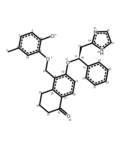 Cc1ccc(Cl)c(OCc2c(O[C@@H](Cc3ncc[nH]3)c3ccccc3)ccc3c2CCCC3=O)c1